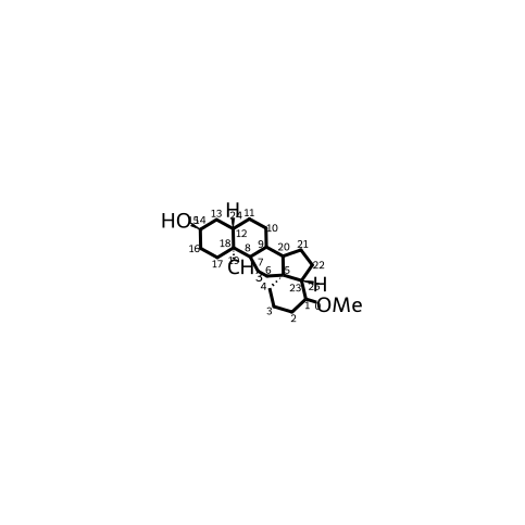 COC1CCC[C@]23CCC4C(CC[C@H]5C[C@H](O)CC[C@]45C)C2CC[C@H]13